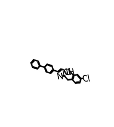 Clc1ccc(Cc2nc(-c3ccc(-c4ccccc4)cc3)c[nH]2)c(Cl)c1